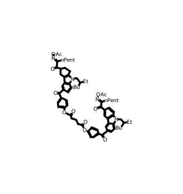 CCCCC/C(=N\OC(C)=O)C(=O)c1ccc2c(c1)c1cc(C(=O)c3ccc(OC(=O)CCCC(=O)Oc4ccc(C(=O)c5ccc6c(c5)c5c(n6CC(CC)CCCC)CCC(C(=O)/C(CCCCC)=N/OC(C)=O)C5)cc4)cc3)ccc1n2CC(CC)CCCC